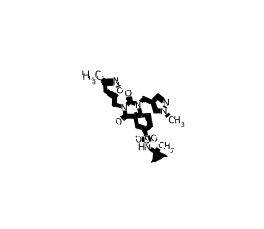 Cc1cc(Cn2c(=O)c3cc(S(=O)(=O)NC4(C)CC4)ccc3n(Cc3cnn(C)c3)c2=O)on1